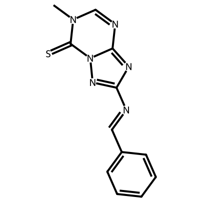 Cn1cnc2nc(N=Cc3ccccc3)nn2c1=S